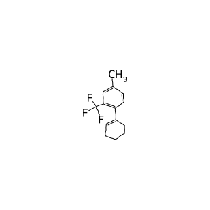 Cc1ccc(C2=CCCCC2)c(C(F)(F)F)c1